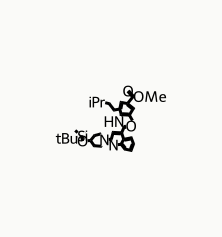 COC(=O)c1cc(C)c(NC(=O)c2cc(N3CCC(O[Si](C)(C)C(C)(C)C)CC3)nc3ccccc23)c(CCC(C)C)c1